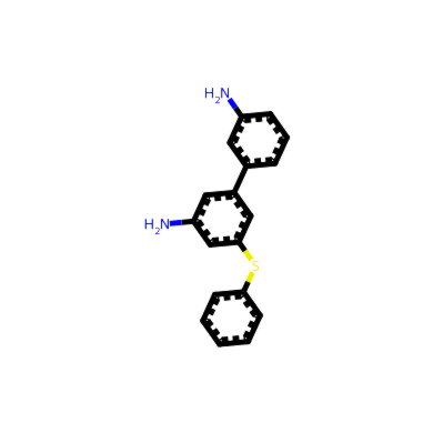 Nc1cccc(-c2cc(N)cc(Sc3ccccc3)c2)c1